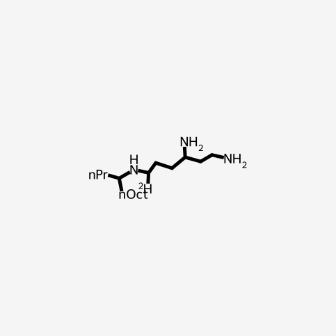 [2H]C(CCC(N)CCN)NC(CCC)CCCCCCCC